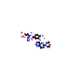 CC(C)(C)/C(O)=C/C(=N)NC(=O)c1ccc(C(F)(F)F)c(Nc2ncnc3cnc(N4CCOCC4)nc23)c1